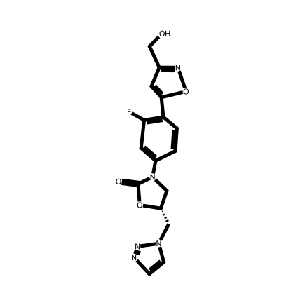 O=C1O[C@@H](Cn2ccnn2)CN1c1ccc(-c2cc(CO)no2)c(F)c1